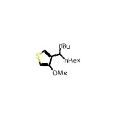 CCCCCCC(CCCC)c1cscc1OC